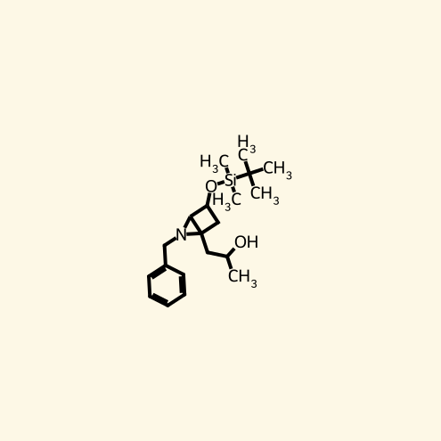 CC(O)CC12CC(O[Si](C)(C)C(C)(C)C)C1N2Cc1ccccc1